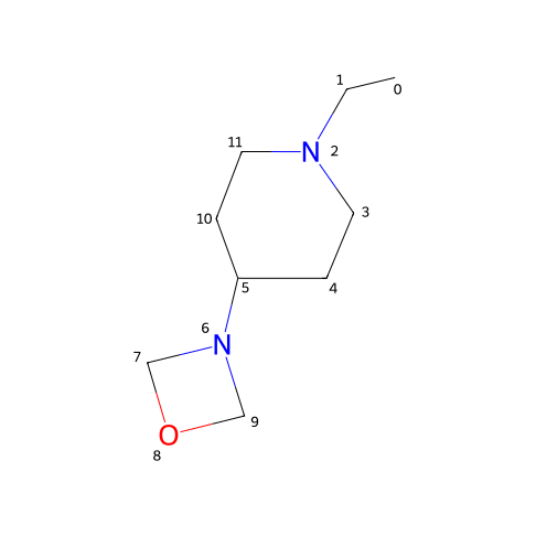 CCN1CCC(N2COC2)CC1